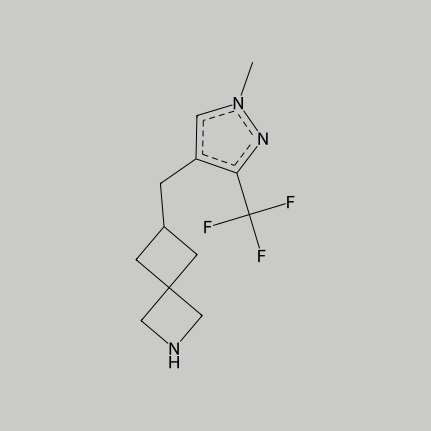 Cn1cc(CC2CC3(CNC3)C2)c(C(F)(F)F)n1